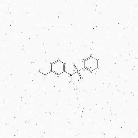 CC(C)c1cccc(N(C)S(=O)(=O)c2ccccc2)c1